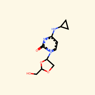 O=c1nc(NC2CC2)ccn1C1COC(CO)O1